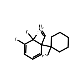 C=CC1(C2(CCC)CCCCC2)C=CC=C(F)C1(F)F